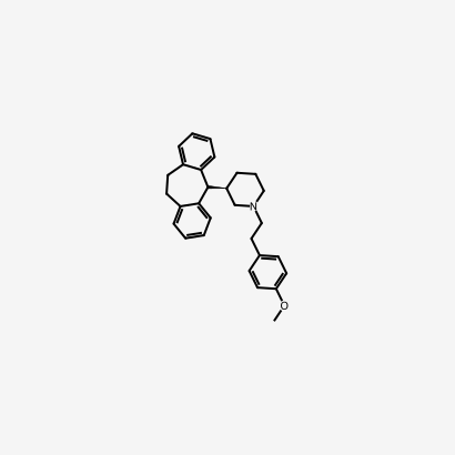 COc1ccc(CCN2CCC[C@H](C3c4ccccc4CCc4ccccc43)C2)cc1